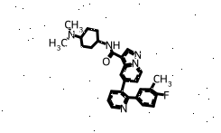 Cc1cc(-c2ncccc2-c2ccn3ncc(C(=O)NC4CCC(N(C)C)CC4)c3c2)ccc1F